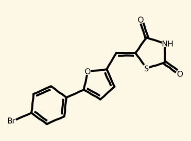 O=C1NC(=O)C(=Cc2ccc(-c3ccc(Br)cc3)o2)S1